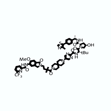 COc1cc2c(cc1NC(=O)c1cccc(C(F)(F)F)n1)CN(CCC(C)(C)C(=O)N1CCC3(CC1)CCN(c1cnc(C(=O)N[C@H](C(=O)N4C[C@H](O)C[C@H]4C(=O)N[C@@H](C)c4ccc(-c5scnc5C)cc4)C(C)(C)C)nc1)CC3)C2=O